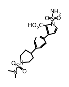 C=C(/C=C\C(=C/C)C1CCN(S(=O)(=O)N(C)C)CC1)c1ccn(S(N)(=O)=O)c1C(=O)O